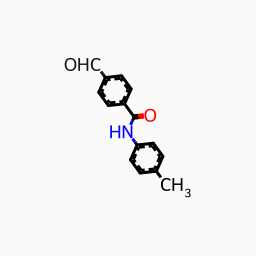 Cc1ccc(NC(=O)c2ccc(C=O)cc2)cc1